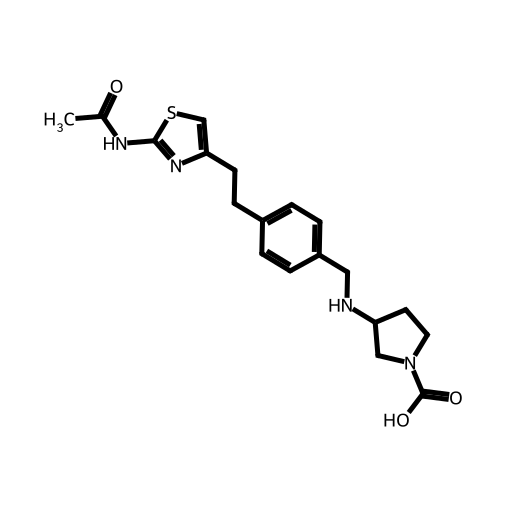 CC(=O)Nc1nc(CCc2ccc(CNC3CCN(C(=O)O)C3)cc2)cs1